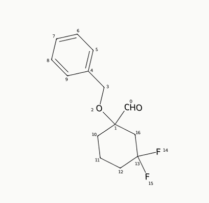 O=CC1(OCc2ccccc2)CCCC(F)(F)C1